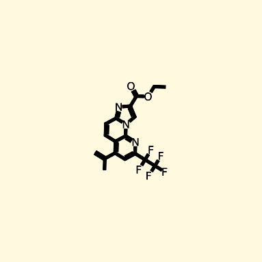 C=C(C)c1cc(C(F)(F)C(F)(F)F)nc2c1ccc1nc(C(=O)OCC)cn12